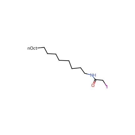 CCCCCCCCCCCCCCCCNC(=O)CI